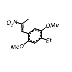 CCc1cc(OC)c(C=C(C)[N+](=O)[O-])cc1OC